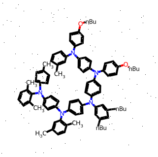 CCCCOc1ccc(N(c2ccc(N(c3ccc(OCCCC)cc3)c3cccc(C)c3)cc2)c2ccc(N(c3ccc(N(c4ccc(N(c5ccc(C)cc5)c5c(C)cccc5C)cc4)c4cc(C)ccc4C)cc3)c3cc(CCCC)cc(CCCC)c3)cc2)cc1